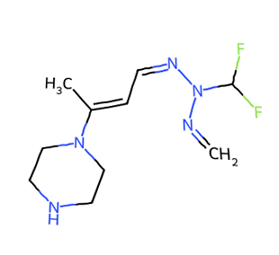 C=NN(/N=C\C=C(/C)N1CCNCC1)C(F)F